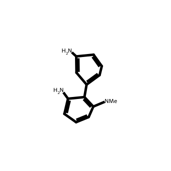 CNc1cccc(N)c1-c1cccc(N)c1